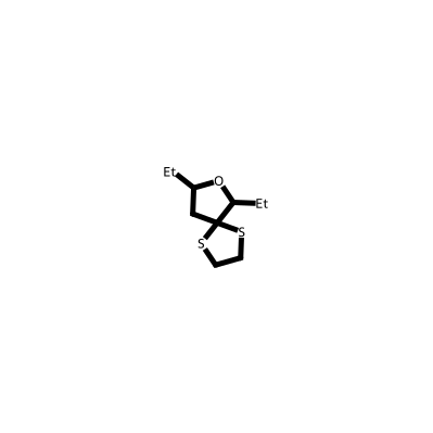 CCC1CC2(SCCS2)C(CC)O1